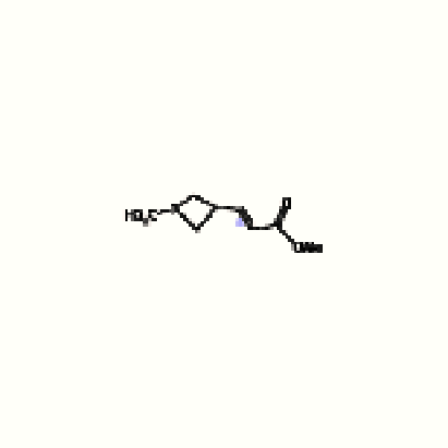 COC(=O)/C=C/C1CN(C(=O)O)C1